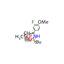 COc1ccc([C@H](CO[Si](C)(C)C(C)(C)C)N[S+]([O-])C(C)(C)C)cc1F